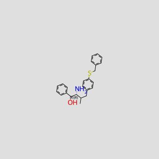 CC(Cc1ccc(SCc2ccccc2)cc1)[C@@H](N)[C@H](O)c1ccccc1